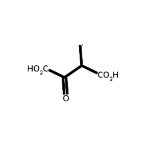 [CH2]C(C(=O)O)C(=O)C(=O)O